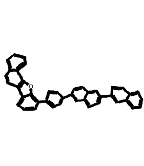 c1ccc2cc(-c3ccc4cc(-c5ccc(-c6cccc7c6oc6c8ccccc8ccc76)cc5)ccc4c3)ccc2c1